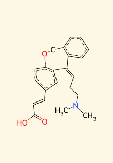 CN(C)CCC=C1c2ccccc2COc2ccc(/C=C/C(=O)O)cc21